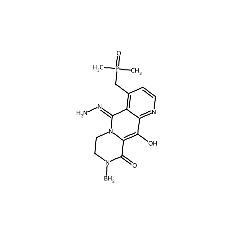 BN1CCn2c(c(O)c3nccc(CP(C)(C)=O)c3/c2=N/N)C1=O